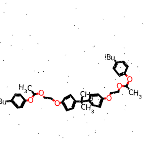 CCC(C)c1ccc(OC(C)OCCOc2ccc(C(C)(C)c3ccc(OCCOC(C)Oc4ccc(C(C)CC)cc4)cc3)cc2)cc1